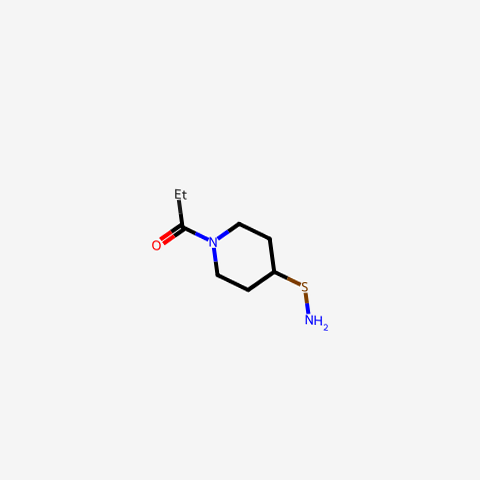 CCC(=O)N1CCC(SN)CC1